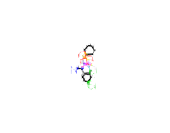 N#CC(=NOS(=O)(=O)c1ccccc1)c1ccc(Cl)cc1Cl